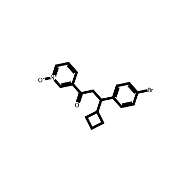 O=C(CC(c1ccc(Br)cc1)C1CCC1)c1ccc[n+]([O-])c1